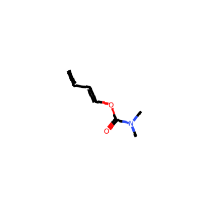 C=C/C=C/OC(=O)N(C)C